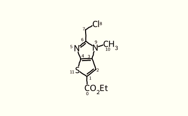 CCOC(=O)c1cc2c(nc(CCl)n2C)s1